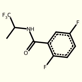 CC(NC(=O)c1cc(F)ccc1F)C(F)(F)F